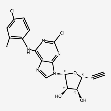 C#C[C@H]1O[C@@H](n2cnc3c(Nc4ccc(Cl)cc4F)nc(Cl)nc32)[C@H](O)[C@@H]1O